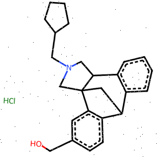 Cl.OCc1ccc2c(c1)C13CC2c2ccccc2C1CN(CC1CCCC1)C3